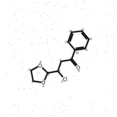 O=C(CC(Cl)C1OCCO1)c1ccccc1